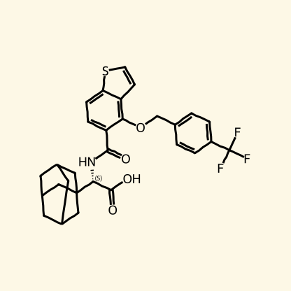 O=C(N[C@H](C(=O)O)C12CC3CC(CC(C3)C1)C2)c1ccc2sccc2c1OCc1ccc(C(F)(F)F)cc1